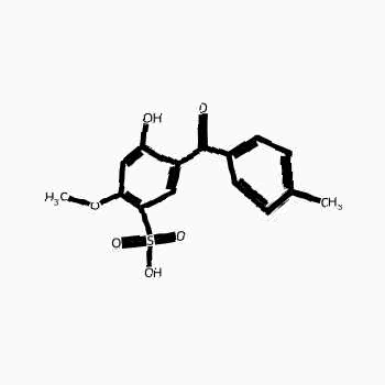 COc1cc(O)c(C(=O)c2ccc(C)cc2)cc1S(=O)(=O)O